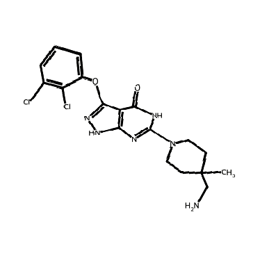 CC1(CN)CCN(c2nc3[nH]nc(Oc4cccc(Cl)c4Cl)c3c(=O)[nH]2)CC1